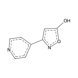 Oc1cc(-c2ccncc2)no1